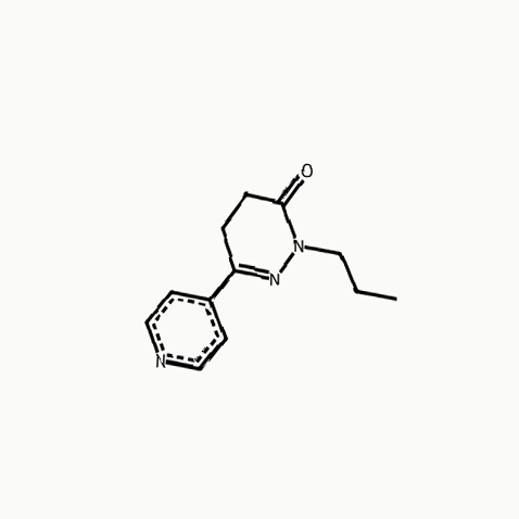 CCCN1N=C(c2ccncc2)CCC1=O